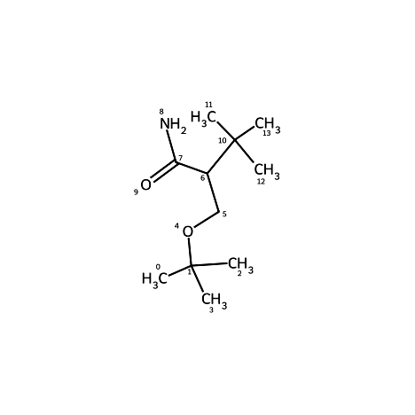 CC(C)(C)OCC(C(N)=O)C(C)(C)C